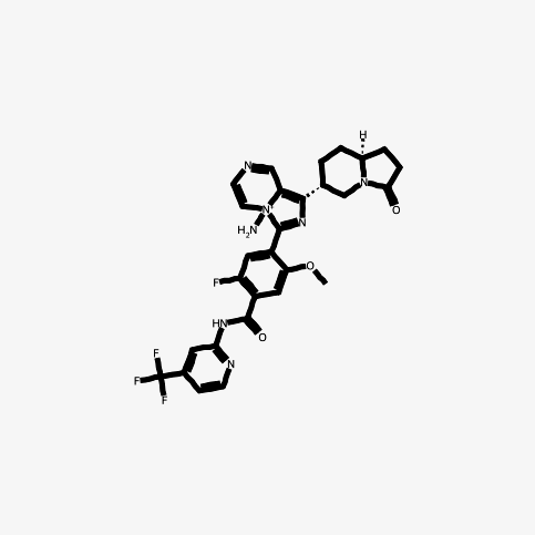 COc1cc(C(=O)Nc2cc(C(F)(F)F)ccn2)c(F)cc1C1=NC([C@@H]2CC[C@H]3CCC(=O)N3C2)=C2C=NC=C[N+]12N